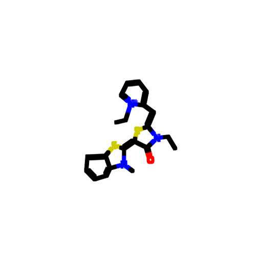 CCn1c(=Cc2cccc[n+]2CC)sc(=C2Sc3ccccc3N2C)c1=O